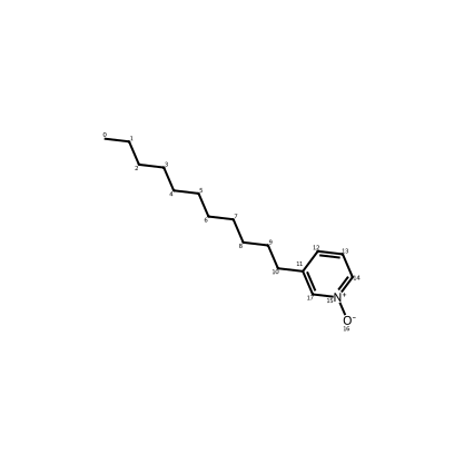 CCCCCCCCCCCc1ccc[n+]([O-])c1